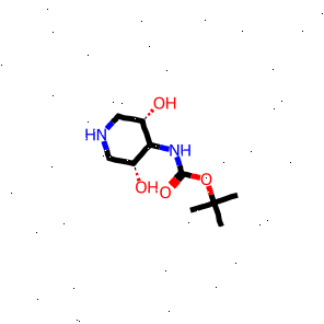 CC(C)(C)OC(=O)NC1[C@H](O)CNC[C@@H]1O